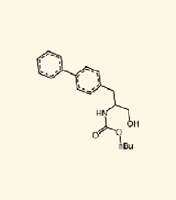 CCCCOC(=O)NC(CO)Cc1ccc(-c2ccccc2)cc1